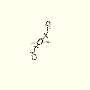 CC(C)(CCP1(=O)OCCO1)c1cc(O)c(C(C)(C)CCP2(=O)OCCO2)cc1O